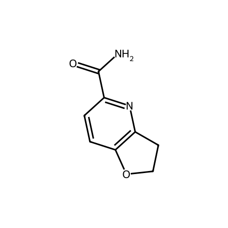 NC(=O)c1ccc2c(n1)CCO2